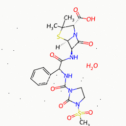 CC1(C)S[C@@H]2[C@H](NC(=O)C(NC(=O)N3CCN(S(C)(=O)=O)C3=O)c3ccccc3)C(=O)N2[C@H]1C(=O)O.O